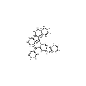 c1ccc(N(c2ccc3c(c2)sc2ccccc23)c2cccc3c2sc2c4ccccc4ccc32)cc1